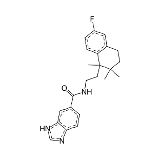 CC1(C)CCc2cc(F)ccc2C1(C)CCNC(=O)c1ccc2nc[nH]c2c1